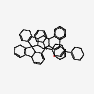 C1=CCC(N(C2=CC=CC3C4=C(CCC=C4)C4(C5=C(CCC=C5)C5CC6c7ccccc7C7=C(CCC=C7)C6CC54)C23)C2CC=C(C3=CCCCC3)CC2)C=C1